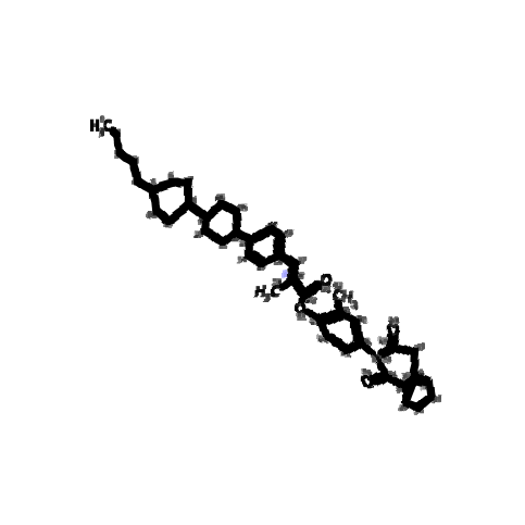 CCCCCC1CCC(C2CCC(c3ccc(/C=C(\C)C(=O)Oc4ccc(N5C(=O)CC6C7C=CC(C7)C6C5=O)cc4C)cc3)CC2)CC1